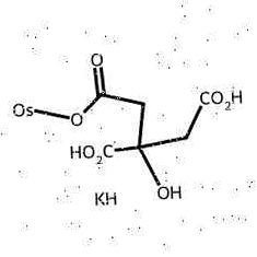 O=C(O)CC(O)(CC(=O)[O][Os])C(=O)O.[KH]